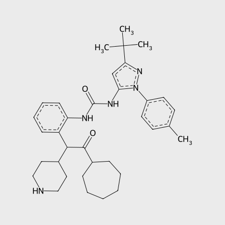 Cc1ccc(-n2nc(C(C)(C)C)cc2NC(=O)Nc2ccccc2C(C(=O)C2CCCCCC2)C2CCNCC2)cc1